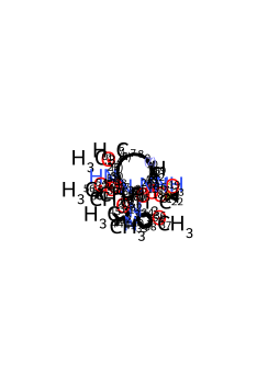 COC[C@@H]1C[C@H](C)CC/C=C\[C@@H]2C[C@@]2(C(=O)NS(=O)(=O)C2(C)CC2)NC(=O)[C@@H]2C[C@@H](Oc3nc4cc(OC)ccc4nc3C(C)C)CN2C(=O)[C@H]1NC(=O)OC(C)(C)C